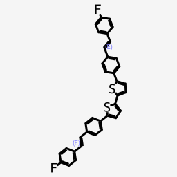 Fc1ccc(/C=C/c2ccc(-c3ccc(-c4ccc(-c5ccc(/C=C/c6ccc(F)cc6)cc5)s4)s3)cc2)cc1